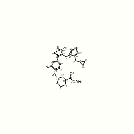 COC(=O)[C@H]1CCC[C@H](Oc2ccc(-c3nnn(C)c3Cn3nnnc3CC3CC3)nc2C)C1